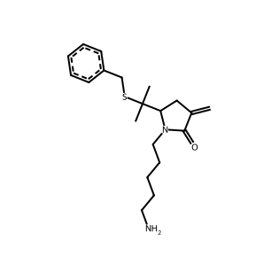 C=C1CC(C(C)(C)SCc2ccccc2)N(CCCCCN)C1=O